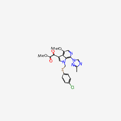 COC(=O)C(=O)c1cn(CSc2ccc(Cl)cc2)c2c(-n3cnc(C)n3)ncc(OC)c12